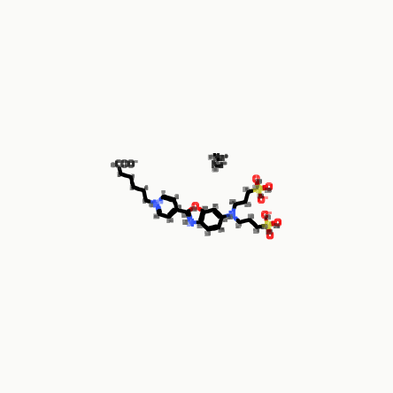 O=C([O-])CCCCC[n+]1ccc(-c2nc3ccc(N(CCCS(=O)(=O)[O-])CCCS(=O)(=O)[O-])cc3o2)cc1.[Na+].[Na+]